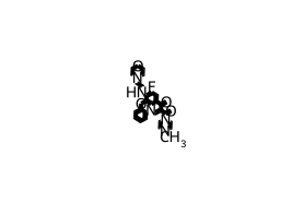 CN1CCN(C(=O)c2cn3c4c(c(NCCN5CCOCC5)c(F)cc4c2=O)Oc2ccccc2-3)CC1